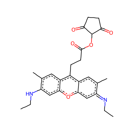 CC/N=c1\cc2oc3cc(NCC)c(C)cc3c(CCC(=O)OC3C(=O)CCC3=O)c-2cc1C